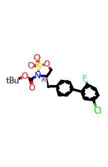 CC(C)(C)OC(=O)N1[C@H](Cc2ccc(-c3cc(Cl)ccc3F)cc2)COS1(=O)=O